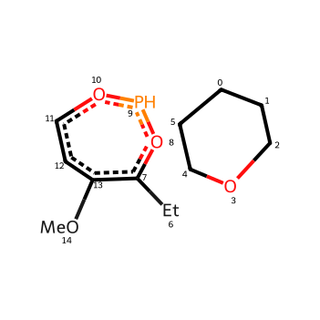 C1CCOCC1.CCc1o[pH]occc1OC